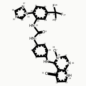 O=C(Nc1ccc(Nc2c3c(=O)cc[nH]c3nc[n+]2[O-])cc1)Nc1cc(C(F)(F)F)ccc1-n1cncn1